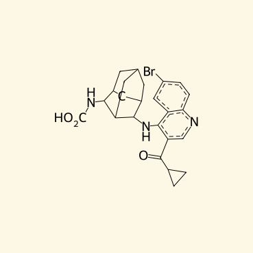 O=C(O)NC1C2CC3CC(C2)C(Nc2c(C(=O)C4CC4)cnc4ccc(Br)cc24)C1C3